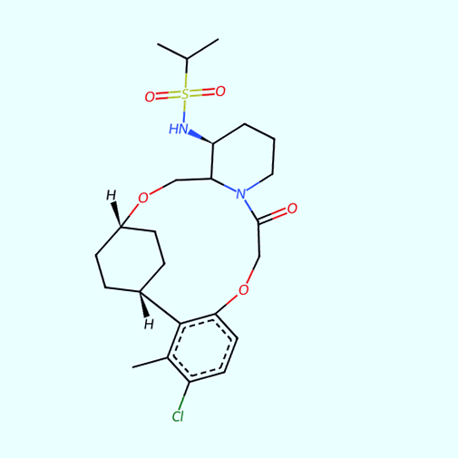 Cc1c(Cl)ccc2c1[C@H]1CC[C@H](CC1)OCC1[C@@H](NS(=O)(=O)C(C)C)CCCN1C(=O)CO2